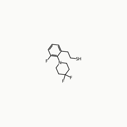 Fc1cccc(CCS)c1N1CCC(F)(F)CC1